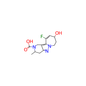 CC1Cc2nn3c(c2CN1C(=O)O)C(F)=CC(O)CC3